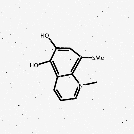 CSc1cc(O)c(O)c2ccc[n+](C)c12